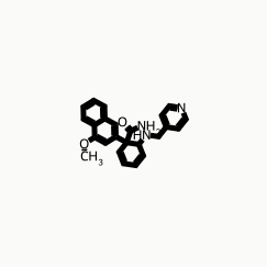 COc1cc(C2(C(N)=O)C=CC=CC2NCc2ccncc2)cc2ccccc12